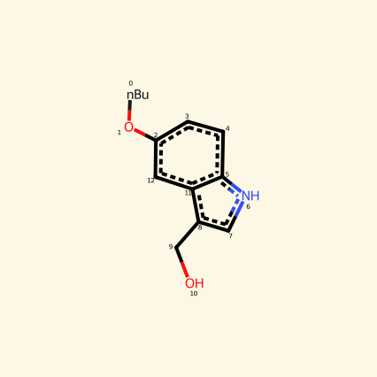 CCCCOc1ccc2[nH]cc(CO)c2c1